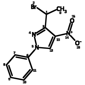 CC(Br)c1nn(-c2ccccc2)cc1[N+](=O)[O-]